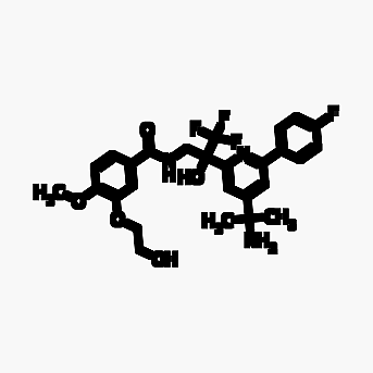 COc1ccc(C(=O)NCC(O)(c2cc(C(C)(C)N)cc(-c3ccc(F)cc3)n2)C(F)(F)F)cc1OCCO